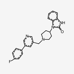 O=c1[nH]c2ccccc2n1C1CCN(Cc2cncc(-c3ccc(F)cc3)c2)CC1